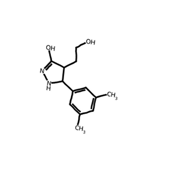 Cc1cc(C)cc(C2NN=C(O)C2CCO)c1